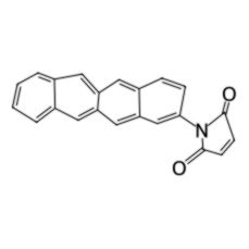 O=C1C=CC(=O)N1c1ccc2cc3cc4ccccc4cc3cc2c1